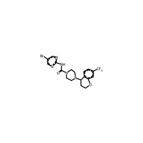 O=C(Nc1ncc(Br)cn1)N1CCN(C2CCOc3cc(C(F)(F)F)ccc32)CC1